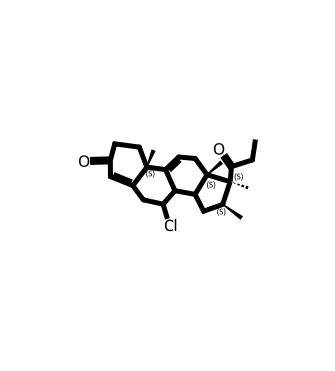 CCC(=O)[C@@]1(C)[C@@H](C)CC2C3C(=CC[C@@]21C)[C@@]1(C)CCC(=O)C=C1CC3Cl